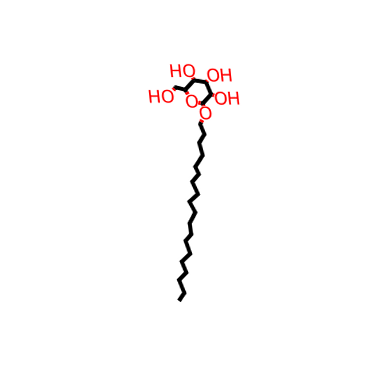 CCCCCCCCCCCCCCCCCCCOC1OC(CO)C(O)C(O)C1O